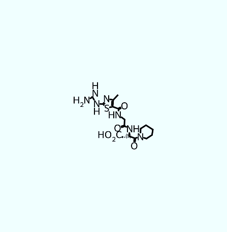 Cc1nc(NC(=N)N)sc1C(=O)NCC(=O)N[C@@H](CC(=O)O)C(=O)N1CCCCC1